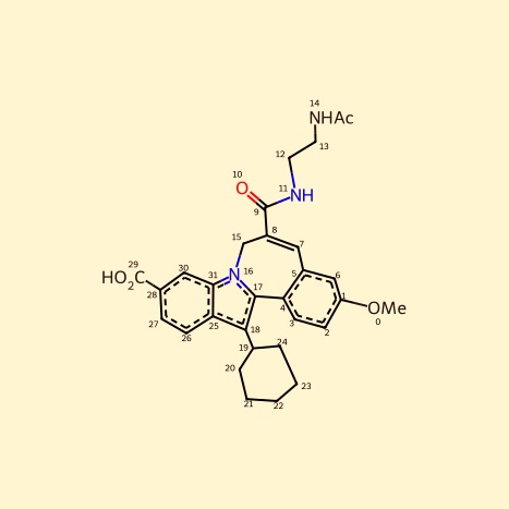 COc1ccc2c(c1)C=C(C(=O)NCCNC(C)=O)Cn1c-2c(C2CCCCC2)c2ccc(C(=O)O)cc21